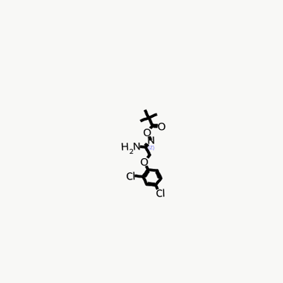 CC(C)(C)C(=O)O/N=C(\N)COc1ccc(Cl)cc1Cl